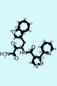 NC(=O)C(=O)C(Cc1coc2ccccc12)NC(=O)c1csnc1-c1ccccn1